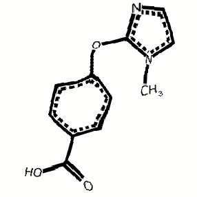 Cn1ccnc1Oc1ccc(C(=O)O)cc1